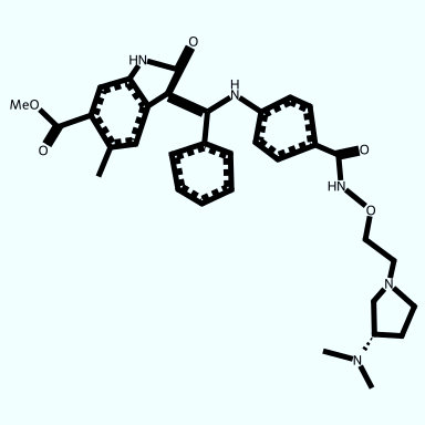 COC(=O)c1cc2c(cc1C)/C(=C(/Nc1ccc(C(=O)NOCCN3CC[C@H](N(C)C)C3)cc1)c1ccccc1)C(=O)N2